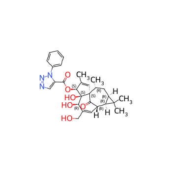 CC1=C[C@]23C(=O)[C@@H](C=C(CO)[C@@H](O)[C@]2(O)[C@H]1OC(=O)c1cnnn1-c1ccccc1)[C@H]1[C@@H](C[C@H]3C)C1(C)C